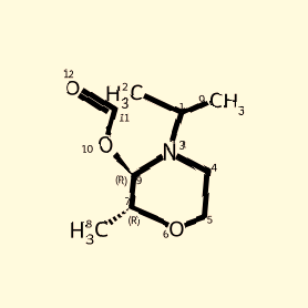 CC(C)N1CCO[C@H](C)[C@H]1OC=O